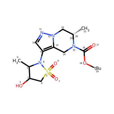 CC1C(O)CS(=O)(=O)N1c1cnn2c1CN(C(=O)OC(C)(C)C)[C@@H](C)C2